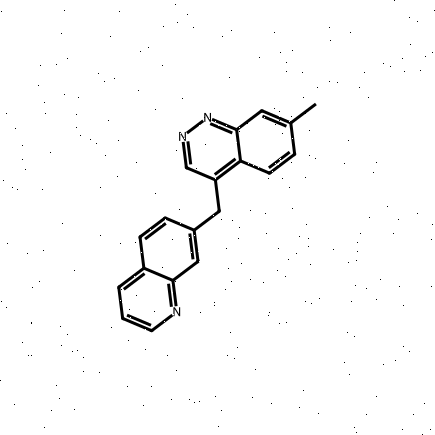 Cc1ccc2c(Cc3ccc4cccnc4c3)cnnc2c1